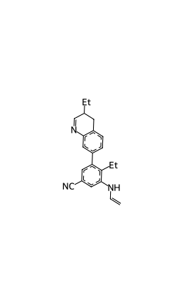 C=CNc1cc(C#N)cc(-c2ccc3c(c2)N=CC(CC)C3)c1CC